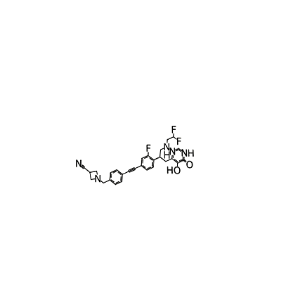 N#CC1CN(Cc2ccc(C#Cc3ccc(C(CNCC(F)F)Cc4nc[nH]c(=O)c4O)c(F)c3)cc2)C1